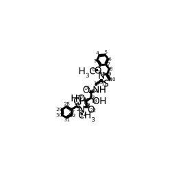 COc1ccccc1Cc1csc(CNC(=O)[C@H](O)[C@@H](O)C(=O)N(C)[C@@H](C)c2ccccc2)n1